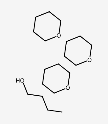 C1CCOCC1.C1CCOCC1.C1CCOCC1.CCCCO